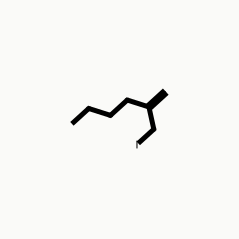 C=C(CI)CCCC